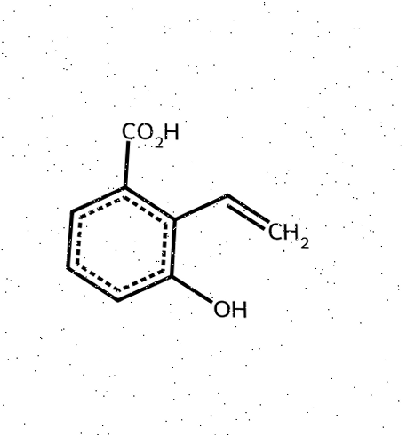 C=Cc1c(O)cccc1C(=O)O